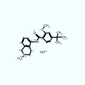 COc1cc(C(C)(C)C)ccc1C(=O)Nc1cccc2c1CCN(C)C2.Cl